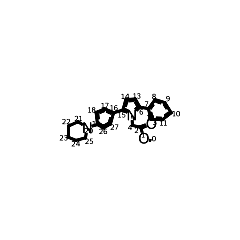 COC(=O)Cn1c(-c2ccccc2)ccc1-c1ccc(N2CCCCC2)cc1